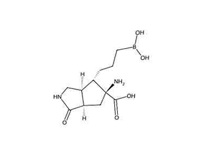 N[C@@]1(C(=O)O)C[C@H]2C(=O)NC[C@H]2[C@@H]1CCCB(O)O